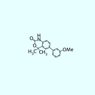 COc1cccc(-c2ccc3c(c2)C(C)(C)OC(=O)N3)c1